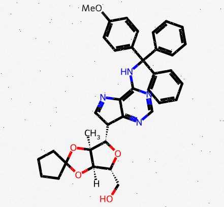 COc1ccc(C(Nc2ncnc3c2N=CC3[C@@H]2O[C@H](CO)[C@H]3OC4(CCCC4)O[C@]32C)(c2ccccc2)c2ccccc2)cc1